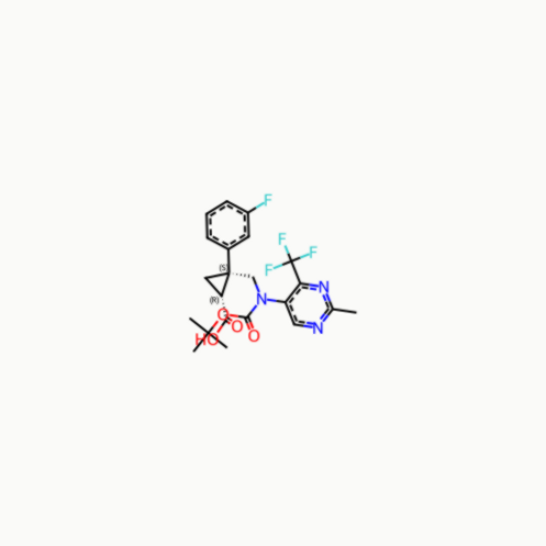 Cc1ncc(N(C[C@@]2(c3cccc(F)c3)C[C@H]2C(=O)O)C(=O)OC(C)(C)C)c(C(F)(F)F)n1